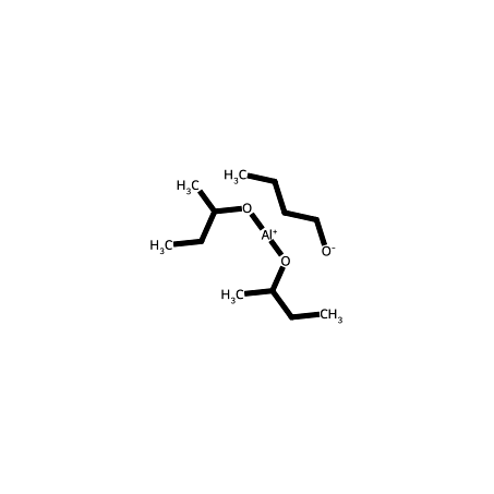 CCC(C)[O][Al+][O]C(C)CC.CCCC[O-]